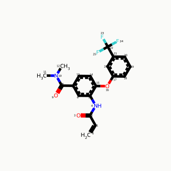 C=CC(=O)Nc1cc(C(=O)N(C)C)ccc1Oc1cccc(C(F)(F)F)c1